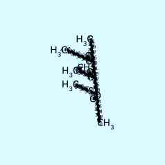 CCCCCCCCCC(=O)OC(CCCCCC(CCCCCC(CSCCCCCC)OC(=O)CCCCCCCCC)OC(=O)CCCN(C)C)CSCCCCCC